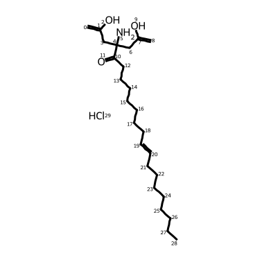 C=C(O)CC(N)(CC(=C)O)C(=O)CCCCCCCC=CCCCCCCCC.Cl